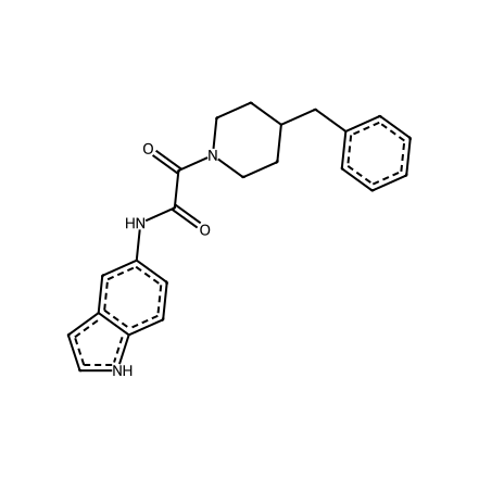 O=C(Nc1ccc2[nH]ccc2c1)C(=O)N1CCC(Cc2ccccc2)CC1